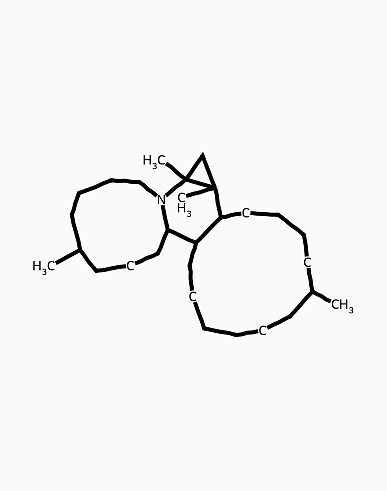 CC1CCCCCCC2C3CCCC(C)CCCCN3C3(C)CC3(C)C2CCCC1